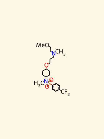 COCCN(C)CCCO[C@H]1CC[C@H](N(C)S(=O)(=O)c2ccc(C(F)(F)F)cc2)CC1